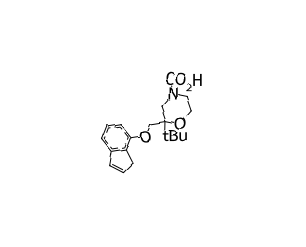 CC(C)(C)C1(COc2cccc3c2CC=C3)CN(C(=O)O)CCO1